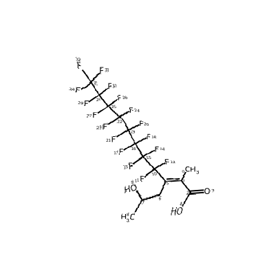 CC(C(=O)O)=C(CC(C)O)C(F)(F)C(F)(F)C(F)(F)C(F)(F)C(F)(F)C(F)(F)C(F)(F)C(F)(F)F